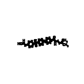 CN(C)CCNC(=O)c1ccc(-c2ccc(S(=O)(=O)N3CC=C(CNO)CC3)cc2)cc1